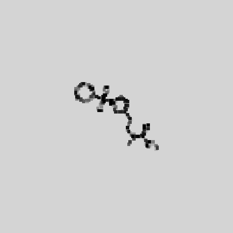 CN(CCc1ccn(S(=O)(=O)c2ccccc2)c1)C(=O)C(F)(F)F